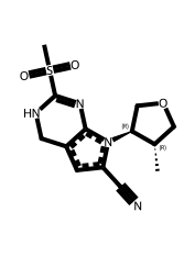 C[C@H]1COC[C@@H]1n1c(C#N)cc2c1N=C(S(C)(=O)=O)NC2